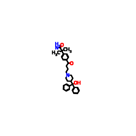 CC(C)(C(N)=O)c1ccc(C(=O)CCCN2CCC(C(O)(c3ccccc3)c3ccccc3)CC2)cc1